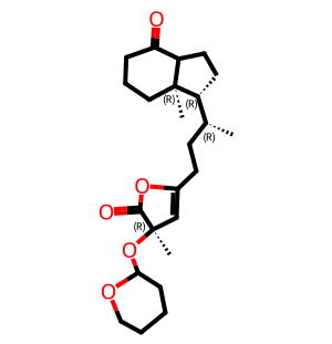 C[C@H](CCC1=C[C@@](C)(OC2CCCCO2)C(=O)O1)[C@H]1CCC2C(=O)CCC[C@@]21C